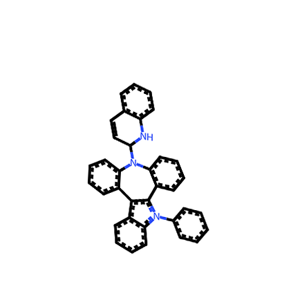 C1=CC(N2c3ccccc3-c3c(n(-c4ccccc4)c4ccccc34)-c3ccccc32)Nc2ccccc21